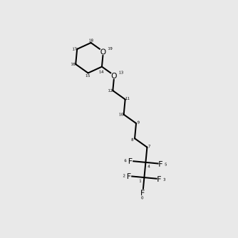 FC(F)(F)C(F)(F)CCCCCCOC1CCCCO1